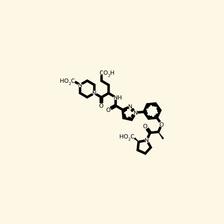 C[C@H](Oc1cccc(-n2ccc(C(=O)NC(CCC(=O)O)C(=O)N3CCN(C(=O)O)CC3)n2)c1)C(=O)N1CCC[C@H]1C(=O)O